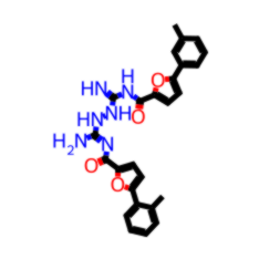 Cc1cccc(-c2ccc(C(=O)NC(=N)NNC(N)=NC(=O)c3ccc(-c4ccccc4C)o3)o2)c1